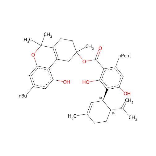 C=C(C)[C@@H]1CCC(C)=C[C@H]1c1c(O)cc(CCCCC)c(C(=O)OC2(C)CCC3=C(C2)c2c(O)cc(CCCC)cc2OC3(C)C)c1O